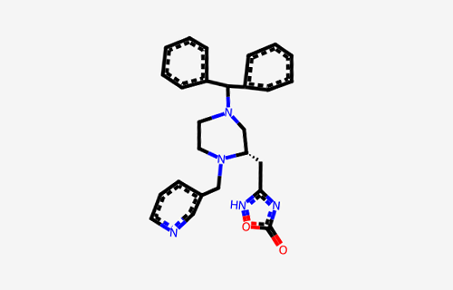 O=c1nc(C[C@H]2CN(C(c3ccccc3)c3ccccc3)CCN2Cc2cccnc2)[nH]o1